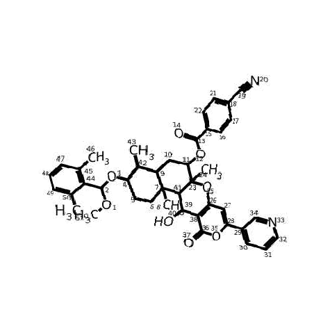 COC(OC1CCC2(C)C(CC(OC(=O)c3ccc(C#N)cc3)C3(C)Oc4cc(-c5cccnc5)oc(=O)c4C(O)C23)C1C)c1c(C)cccc1C